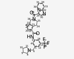 O=C(Nc1cc(CN2CCCC2)cc(C(F)(F)F)c1)c1csc2c1CCN(C(=O)c1cnc3ccccn13)C2